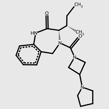 CC[C@H](C)[C@H]1C(=O)Nc2ccccc2CN1C(=O)N1CC(N2CCCC2)C1